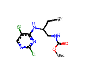 CC(C)CC(CNC(=O)OC(C)(C)C)Nc1nc(Cl)ncc1Br